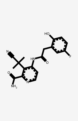 CC(C)(C#N)c1c(NC(=O)Cc2cc(F)ccc2O)ccnc1C(N)=O